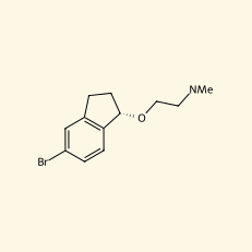 CNCCO[C@H]1CCc2cc(Br)ccc21